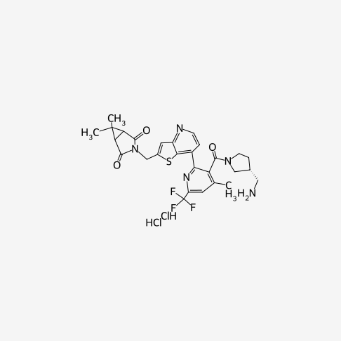 Cc1cc(C(F)(F)F)nc(-c2ccnc3cc(CN4C(=O)C5C(C4=O)C5(C)C)sc23)c1C(=O)N1CC[C@H](CN)C1.Cl.Cl